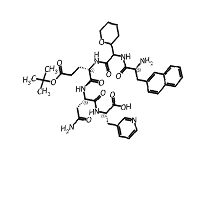 CC(C)(C)OC(=O)CC[C@H](NC(=O)C(NC(=O)[C@@H](N)Cc1ccc2ccccc2c1)C1CCCCO1)C(=O)N[C@@H](CC(N)=O)C(=O)N[C@@H](Cc1cccnc1)C(=O)O